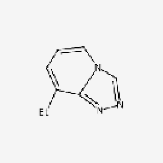 CCc1cccn2cnnc12